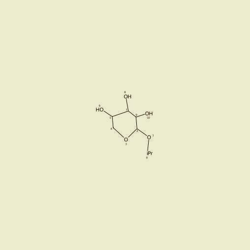 CC(C)OC1OCC(O)C(O)C1O